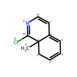 CC12CC=CC=C1C=CN=C2Cl